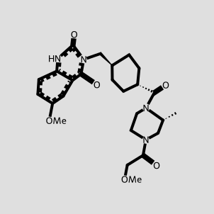 COCC(=O)N1CCN(C(=O)[C@H]2CC[C@H](Cn3c(=O)[nH]c4ccc(OC)cc4c3=O)CC2)[C@H](C)C1